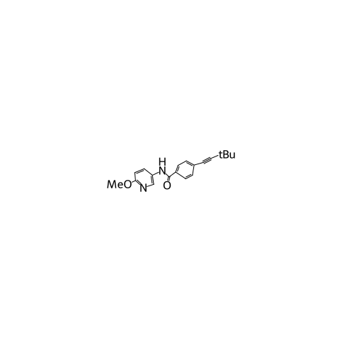 COc1ccc(NC(=O)c2ccc(C#CC(C)(C)C)cc2)cn1